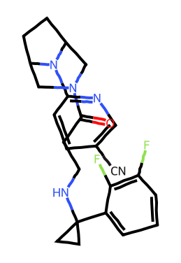 N#Cc1ccc(N2C3CCC2CN(C(=O)CCNC2(c4cccc(F)c4F)CC2)C3)nc1